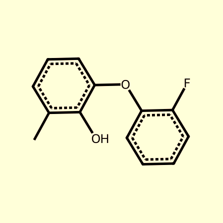 Cc1cccc(Oc2ccccc2F)c1O